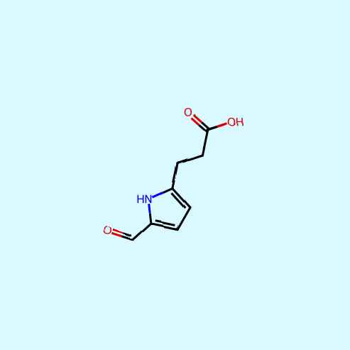 O=Cc1ccc(CCC(=O)O)[nH]1